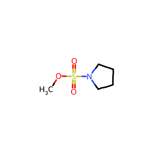 COS(=O)(=O)N1CCCC1